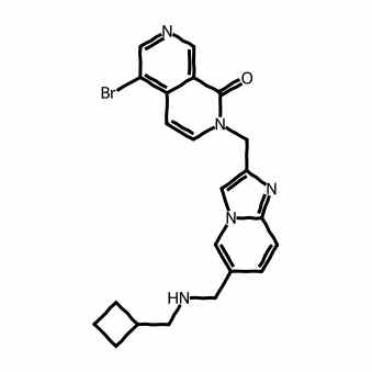 O=c1c2cncc(Br)c2ccn1Cc1cn2cc(CNCC3CCC3)ccc2n1